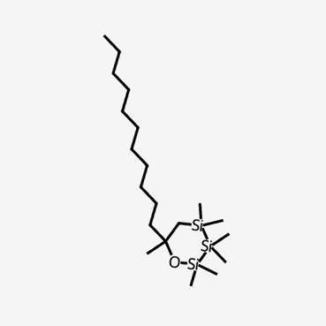 CCCCCCCCCCCC1(C)C[Si](C)(C)[Si](C)(C)[Si](C)(C)O1